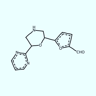 O=Cc1ccc(C2CNCC(c3ncccn3)O2)o1